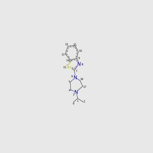 CC(C)N1CCN(c2nc3c[c]ccc3s2)CC1